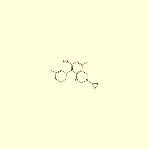 CC1=CC(c2c(O)cc(C)c3c2OCN(C2CC2)C3)CCC1